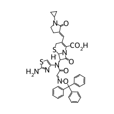 Nc1nc(N(C(=O)/C=N\OC(c2ccccc2)(c2ccccc2)c2ccccc2)[C@@H]2C(=O)N3C(C(=O)O)=C(/C=C4\CCN(C5CC5)C4=O)CS[C@H]23)cs1